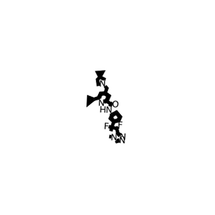 Cn1cnnc1C(F)C(C)(F)c1cccc(NC(=O)c2cc(CN3CCC4(CC4)C3)cc(C3CC3)n2)c1